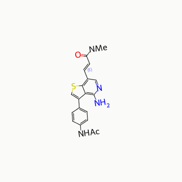 CNC(=O)/C=C/c1cnc(N)c2c(-c3ccc(NC(C)=O)cc3)csc12